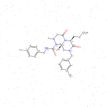 CN1CC(=O)N2[C@@H](CCC(=O)O)C(=O)N(Cc3cccc(C(F)(F)F)c3)C[C@@H]2N1C(=O)NCc1ccc(F)cc1